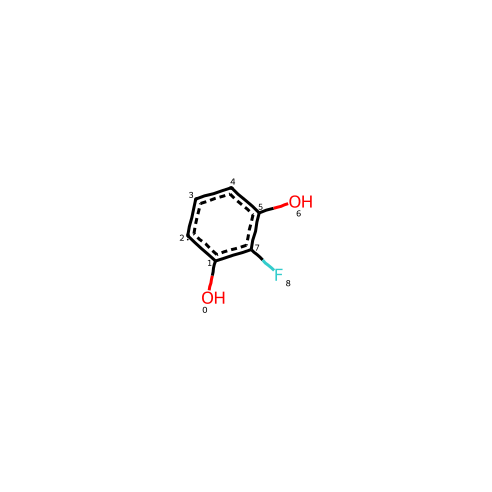 Oc1[c]ccc(O)c1F